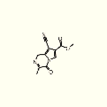 COC(=O)c1cn2c(c1C#N)CN=C(C)C2=O